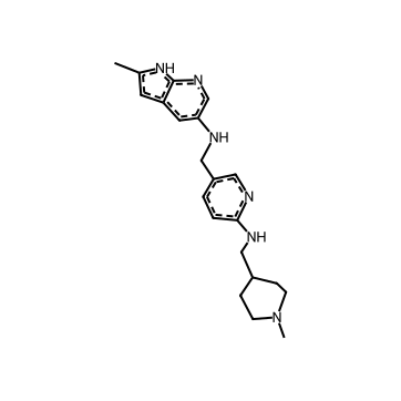 Cc1cc2cc(NCc3ccc(NCC4CCN(C)CC4)nc3)cnc2[nH]1